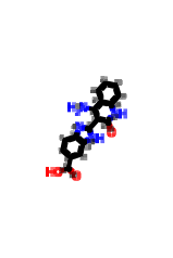 Nc1c(-c2nc3ccc(C(=O)O)cc3[nH]2)c(=O)[nH]c2ccccc12